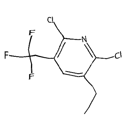 CCc1cc(C(F)(F)F)c(Cl)nc1Cl